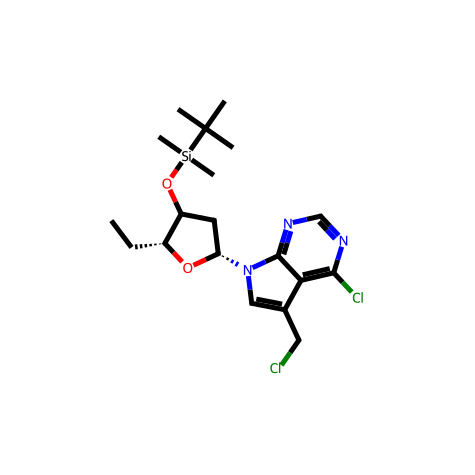 CC[C@H]1O[C@@H](n2cc(CCl)c3c(Cl)ncnc32)CC1O[Si](C)(C)C(C)(C)C